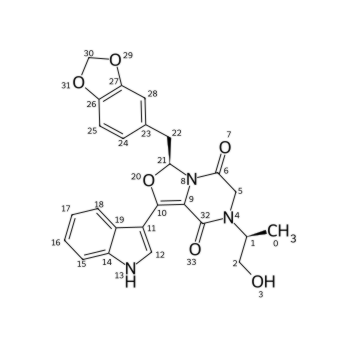 C[C@@H](CO)N1CC(=O)N2C(=C(c3c[nH]c4ccccc34)O[C@H]2Cc2ccc3c(c2)OCO3)C1=O